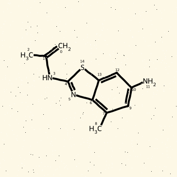 C=C(C)Nc1nc2c(C)cc(N)cc2s1